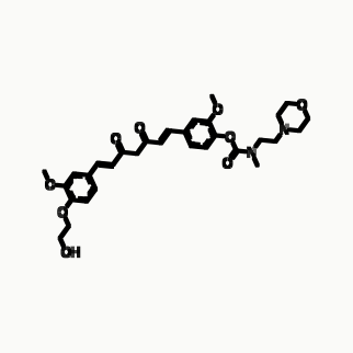 COc1cc(/C=C/C(=O)CC(=O)/C=C/c2ccc(OC(=O)N(C)CCN3CCOCC3)c(OC)c2)ccc1OCCO